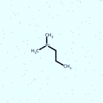 CCC[P+](C)C